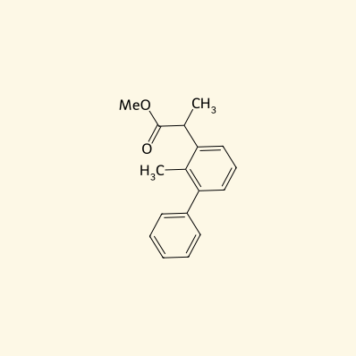 COC(=O)C(C)c1cccc(-c2ccccc2)c1C